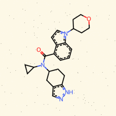 O=C(c1cccc2c1ccn2C1CCOCC1)N(C1CC1)C1CCc2[nH]ncc2C1